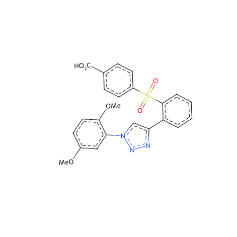 COc1ccc(OC)c(-n2cc(-c3ccccc3S(=O)(=O)c3ccc(C(=O)O)cc3)nn2)c1